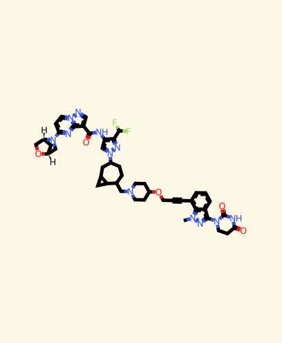 Cn1nc(N2CCC(=O)NC2=O)c2cccc(C#CCOC3CCN(CC4CCC(n5cc(NC(=O)c6cnn7ccc(N8C[C@@H]9C[C@H]8CO9)nc67)c(C(F)F)n5)CC5CC54)CC3)c21